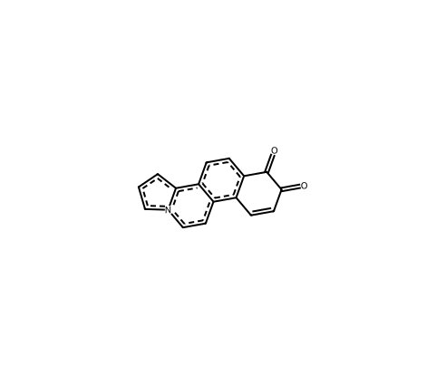 O=C1C=Cc2c(ccc3c2ccn2cccc32)C1=O